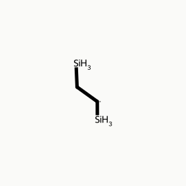 [SiH3][CH]C[SiH3]